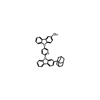 CC(C)(C)c1ccc2c(c1)c1ccccc1n2-c1ccc(-n2c3ccccc3c3ccc(C45CC6CC(CC(C6)C4)C5)cc32)nc1